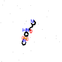 O=C(CCc1cccnc1)Nc1ccc(S(=O)(=O)N2CCCCC2)cc1